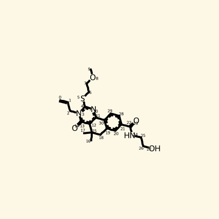 C=CCn1c(SCCOC)nc2c(c1=O)C(C)(C)Cc1cc(C(=O)NCCO)ccc1-2